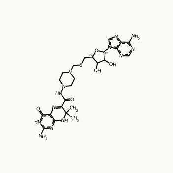 CC1(C)Nc2nc(N)[nH]c(=O)c2N=C1C(=O)NN1CCN(CSC[C@H]2O[C@@H](n3cnc4c(N)ncnc43)C(O)C2O)CC1